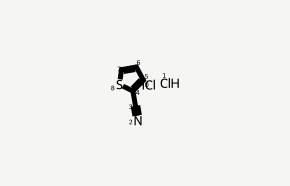 Cl.Cl.N#Cc1cccs1